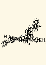 Cc1cc(CC(NC(=O)N2CCC(c3cc4ccccc4[nH]c3=O)CC2)C(=O)N2CCN(C3CCN(C)CC3)CC2)cc2cn(COC(=O)CN(C)C(=O)OCc3ccccc3)nc12